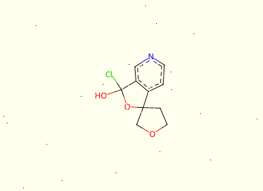 OC1(Cl)OC2(CCOC2)c2ccncc21